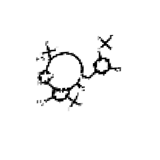 Nc1cc(C(F)(F)F)c2nc1-c1nnc(o1)[C@@](O)(C(F)(F)F)CCCCCN(Cc1cc(Cl)cc(OC(F)(F)F)c1)C2=O